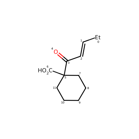 CCC=CC(=O)C1(C(=O)O)CCCCC1